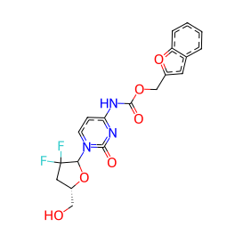 O=C(Nc1ccn(C2O[C@H](CO)CC2(F)F)c(=O)n1)OCc1cc2ccccc2o1